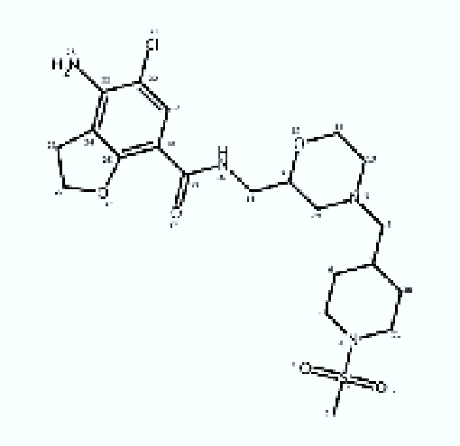 CS(=O)(=O)N1CCC(CN2CCOC(CNC(=O)c3cc(Cl)c(N)c4c3OCC4)C2)CC1